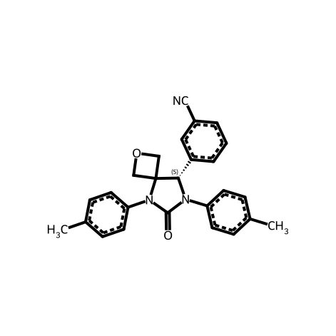 Cc1ccc(N2C(=O)N(c3ccc(C)cc3)C3(COC3)[C@@H]2c2cccc(C#N)c2)cc1